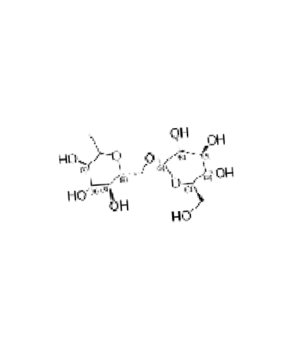 CC1O[C@H](CO[C@H]2O[C@H](CO)[C@@H](O)[C@H](O)[C@H]2O)[C@@H](O)[C@H](O)[C@H]1O